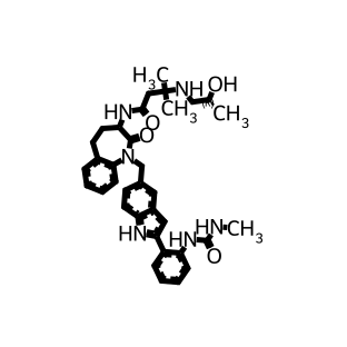 CNC(=O)Nc1ccccc1-c1cc2cc(CN3C(=O)C(NC(=O)CC(C)(C)NC[C@@H](C)O)CCc4ccccc43)ccc2[nH]1